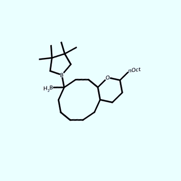 BC1(B2CC(C)(C)C(C)(C)C2)CCCCCC2CCC(CCCCCCCC)OC2CC1